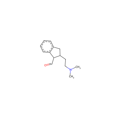 CN(C)CCC1Cc2ccccc2C1C=O